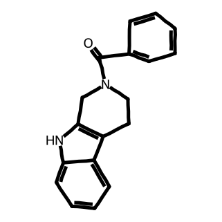 O=C(c1ccccc1)N1CCc2c([nH]c3ccccc23)C1